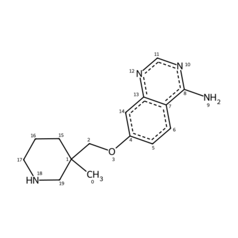 CC1(COc2ccc3c(N)ncnc3c2)CCCNC1